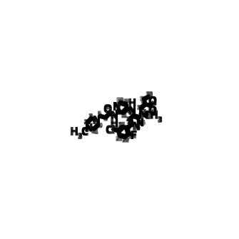 CN1CCN(CCC(=O)Nc2cc(Nc3cc(-c4cc(Cl)ccc4F)nnc3N(C)CC3CCOC3=O)ccn2)CC1